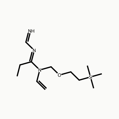 C=CN(COCC[Si](C)(C)C)/C(CC)=N/C=N